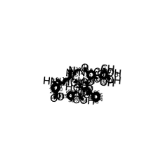 CC1O[C@@H](OC2[C@H](C)CC(C(=O)NCc3cn(CCCc4c[nH]c5ccc([N+](=O)[O-])cc45)nn3)C[C@H]2O[C@@H]2O[C@@H](CO)[C@H](O)C(O[C@@H](CC3CCCCC3)C(=O)O)C2OC(=O)c2ccccc2)[C@@H](O)C(O)[C@@H]1O